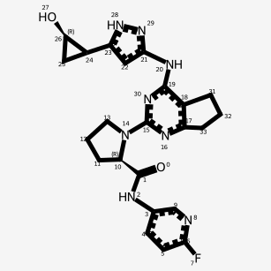 O=C(Nc1ccc(F)nc1)[C@H]1CCCN1c1nc2c(c(Nc3cc(C4C[C@H]4O)[nH]n3)n1)CCC2